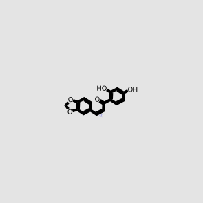 O=C(/C=C\c1ccc2c(c1)OCO2)c1ccc(O)cc1O